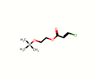 C[Si](C)(C)OCCOC(=O)C=CCl